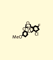 COc1ccc(OCc2c(Cl)cc(F)cc2C2COCC(=O)N2)cc1